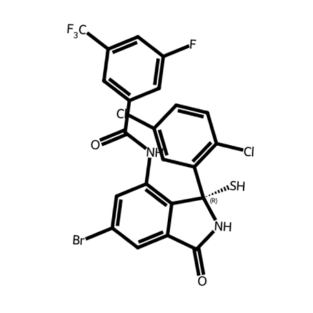 O=C(Nc1cc(Br)cc2c1[C@@](S)(c1cc(Cl)ccc1Cl)NC2=O)c1cc(F)cc(C(F)(F)F)c1